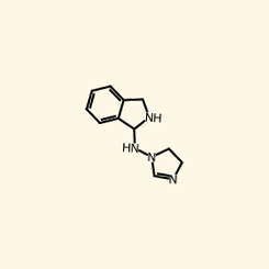 C1=NCCN1NC1NCc2ccccc21